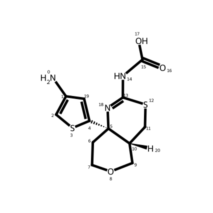 Nc1csc([C@@]23CCOC[C@H]2CSC(NC(=O)O)=N3)c1